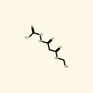 O=C(P)NNC(=O)CC(=O)NCS